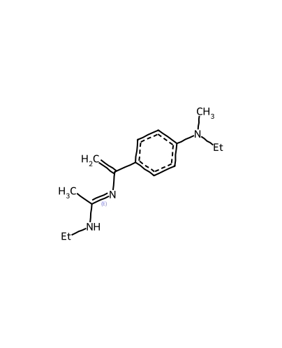 C=C(/N=C(\C)NCC)c1ccc(N(C)CC)cc1